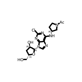 CC(=O)N1CC[C@@H](Nc2nc(Cl)nc3c2ncn3[C@@H]2O[C@H](CO)C[C@H]2O)C1